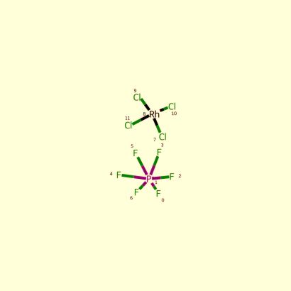 F[P-](F)(F)(F)(F)F.[Cl][Rh]([Cl])([Cl])[Cl]